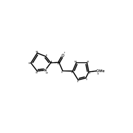 COc1ccc(CC(=O)c2ccccn2)cc1